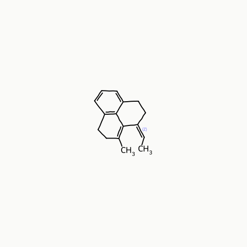 C/C=C1/CCc2cccc3c2C1=C(C)CC3